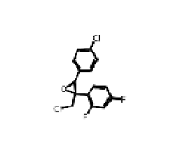 Fc1ccc(C2(CCl)OC2c2ccc(Cl)cc2)c(F)c1